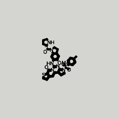 COc1cc2c(cc1Nc1nc3c(ccn3S(=O)(=O)c3ccc(C)cc3)c3cc4ccsc4c(=O)n13)N(C(=O)[C@@H]1CCCN1)CC2